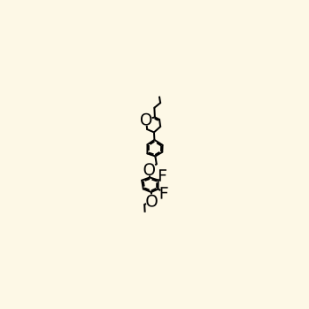 CCCC1=CCC(c2ccc(COc3ccc(OCC)c(F)c3F)cc2)CO1